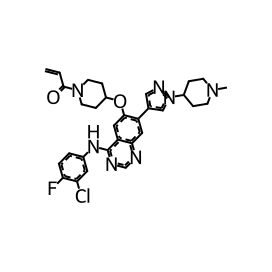 C=CC(=O)N1CCC(Oc2cc3c(Nc4ccc(F)c(Cl)c4)ncnc3cc2-c2cnn(C3CCN(C)CC3)c2)CC1